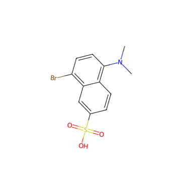 CN(C)c1ccc(Br)c2cc(S(=O)(=O)O)ccc12